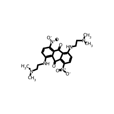 CN(C)CCNc1ccc([N+](=O)[O-])c2c1C(=O)c1c([N+](=O)[O-])ccc(NCCN(C)C)c1C2=O